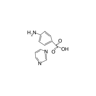 Nc1ccc(S(=O)(=O)O)cc1.c1cncnc1